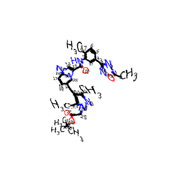 Cc1nc(-c2ccc(C)c(NC(=O)c3cnc4ccc(-c5c(C)nn(CC(=O)OC(C)(C)C)c5C)cn34)c2)no1